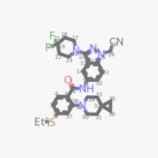 CCSc1ccc(C(=O)Nc2ccc3c(c2)c(N2CCC(F)(F)CC2)nn3CC#N)c(N2CCC3(CC2)CC3)c1